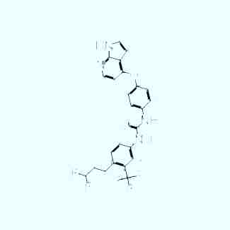 O=C(Nc1ccc(Oc2ccnc3[nH]ccc23)cc1)Nc1ccc(CCC(F)F)c(C(F)(F)F)c1